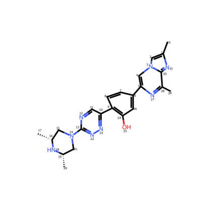 Cc1cn2cc(-c3ccc(-c4cnc(N5C[C@@H](C)N[C@@H](C)C5)nn4)c(O)c3)nc(C)c2n1